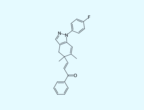 CC1=Cc2c(cnn2-c2ccc(F)cc2)CC1(C)C=CC(=O)c1ccccc1